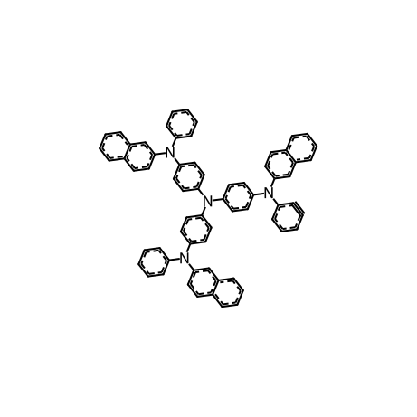 c1cccc(N(c2ccc(N(c3ccc(N(c4ccccc4)c4ccc5ccccc5c4)cc3)c3ccc(N(c4ccccc4)c4ccc5ccccc5c4)cc3)cc2)c2ccc3ccccc3c2)c#1